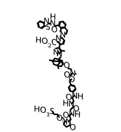 Cc1c(-c2ccc(N3CCc4cccc(C(=O)Nc5nc6ccccc6s5)c4C3)nc2C(=O)O)cnn1CC12CC3(C)CC(C)(C1)CC(OCCN(C)C(=O)OCc1ccc(NC(=O)CNC(=O)CNC(=O)CN4C(=O)CC[C@H]4COCCS(=O)(=O)O)cc1)(C3)C2